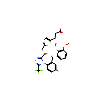 COc1cccc([C@H]2O[C@H](Cc3ncc(CCC(=O)O)s3)c3nnc(C(F)(F)F)n3-c3ccc(Cl)cc32)c1OC